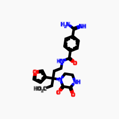 N=C(N)c1ccc(C(=O)NCCC(CC(=O)O)(c2ccoc2)N2CCNC(=O)C2=O)cc1